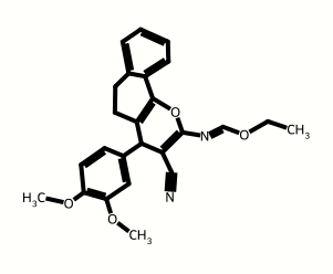 CCOC=NC1=C(C#N)C(c2ccc(OC)c(OC)c2)C2=C(O1)c1ccccc1CC2